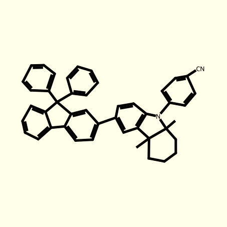 CC12CCCCC1(C)N(c1ccc(C#N)cc1)c1ccc(-c3ccc4c(c3)C(c3ccccc3)(c3ccccc3)c3ccccc3-4)cc12